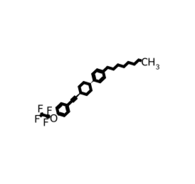 CCCCCCCCc1ccc([C@H]2CC[C@H](C#Cc3ccc(OC(F)(F)C(F)F)cc3)CC2)cc1